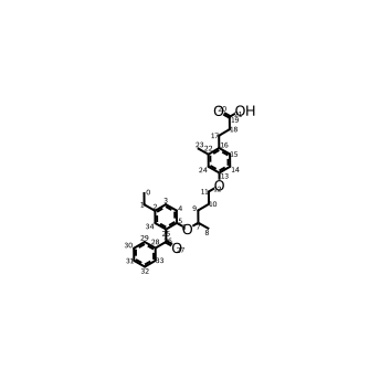 CCc1ccc(OC(C)CCCOc2ccc(CCC(=O)O)c(C)c2)c(C(=O)c2ccccc2)c1